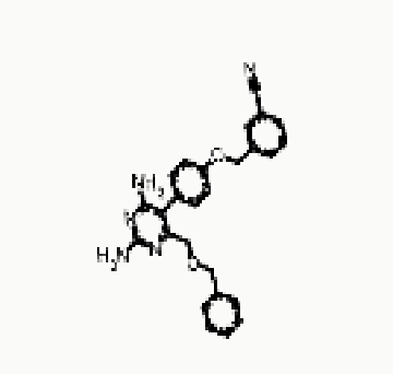 N#Cc1cccc(COc2ccc(-c3c(N)nc(N)nc3COCc3ccccc3)cc2)c1